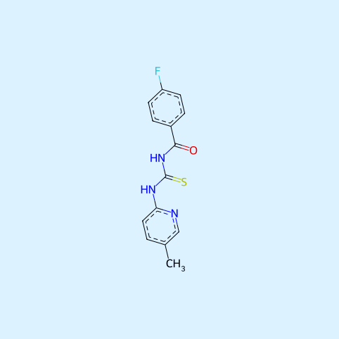 Cc1ccc(NC(=S)NC(=O)c2ccc(F)cc2)nc1